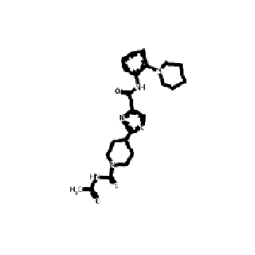 CC(=O)NC(=S)N1CCC(c2nc(C(=O)Nc3ccccc3N3CCCCC3)cs2)CC1